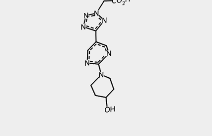 O=C(O)Cn1nnc(-c2cnc(N3CCC(O)CC3)nc2)n1